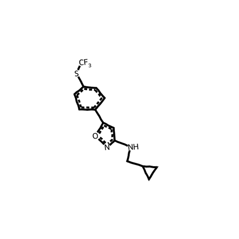 FC(F)(F)Sc1ccc(-c2cc(NCC3CC3)no2)cc1